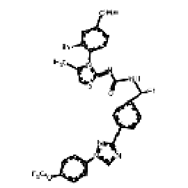 CCC(NC(=O)/N=c1\scc(C)n1-c1ccc(OC)cc1C(C)C)c1ccc(-c2ncn(-c3ccc(OC(F)(F)F)cc3)n2)cc1